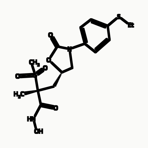 CCSc1ccc(N2C[C@H](C[C@](C)(C(=O)NO)S(C)(=O)=O)OC2=O)cc1